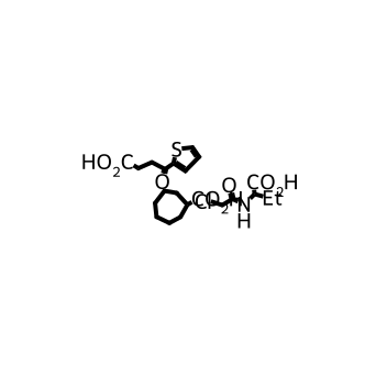 CCC(NC(=O)CCl)C(=O)O.O=C(O)C1CCCCCC1.O=C(O)CCC(=O)c1cccs1